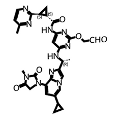 Cc1ccnc([C@H]2C[C@@H]2C(=O)Nc2cc(N[C@H](C)c3cn4cc(C5CC5)cc(N5CC(=O)N(C)C5=O)c4n3)nc(OCC=O)n2)n1